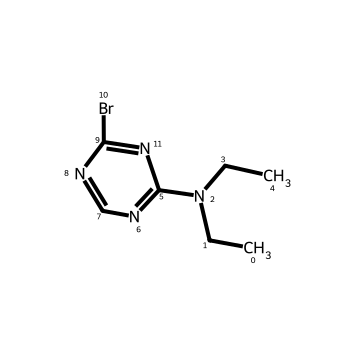 CCN(CC)c1ncnc(Br)n1